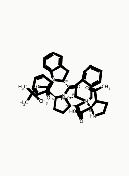 CC(=O)C1CCN[C@@]1(C(=O)O)[N+]1(C(=O)[C@H]2CC[C@@H](c3ccccc3)N2C(=O)[C@H]2Cc3ccccc3N2C(=O)OC(C)(C)C)Cc2ccccc2C[C@H]1C